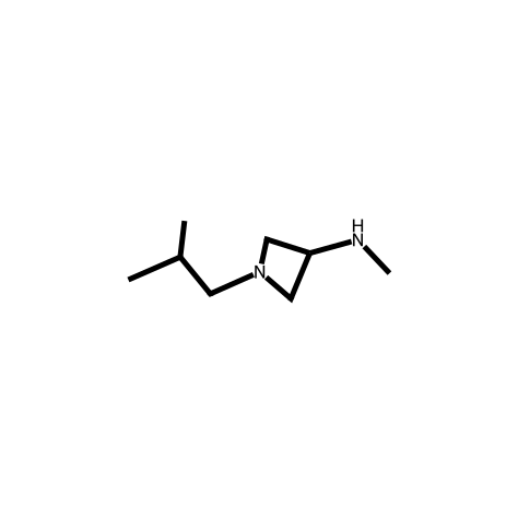 CNC1CN(CC(C)C)C1